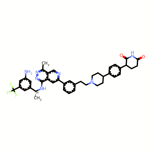 Cc1nnc(N[C@H](C)c2cc(N)cc(C(F)(F)F)c2)c2cc(-c3cccc(CCN4CCC(c5ccc(C6CCC(=O)NC6=O)cc5)CC4)c3)ncc12